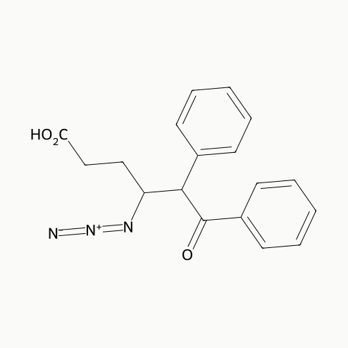 [N-]=[N+]=NC(CCC(=O)O)C(C(=O)c1ccccc1)c1ccccc1